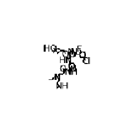 CCCN(CCNC)CCC(=O)Nc1cc(Nc2cc(-c3cc(Cl)ccc3F)nnc2OCC2CC(C)(O)C2)ccn1